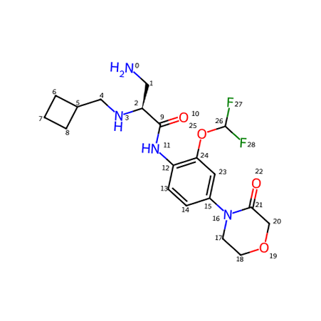 NC[C@H](NCC1CCC1)C(=O)Nc1ccc(N2CCOCC2=O)cc1OC(F)F